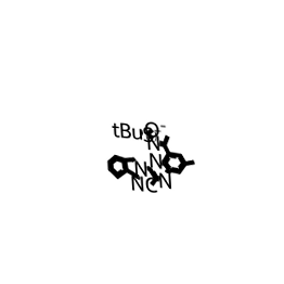 CC(=N[S@+]([O-])C(C)(C)C)c1cc(C)cc2nc(C#N)c(N3Cc4ccccc4C3)nc12